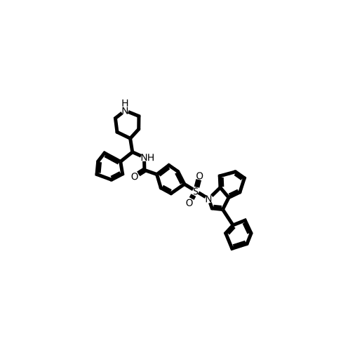 O=C(NC(c1ccccc1)C1CCNCC1)c1ccc(S(=O)(=O)n2cc(-c3ccccc3)c3ccccc32)cc1